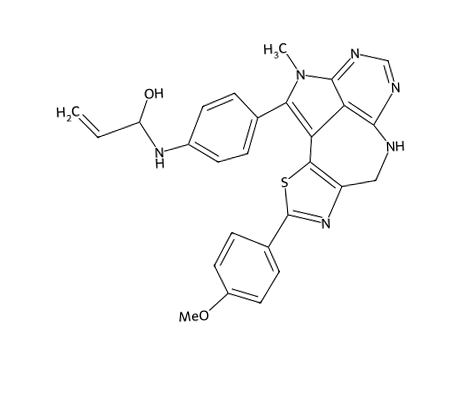 C=CC(O)Nc1ccc(-c2c3c4c(ncnc4n2C)NCc2nc(-c4ccc(OC)cc4)sc2-3)cc1